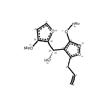 C=CCc1onc(OCCCC)c1[C@H](O)c1occc1OC